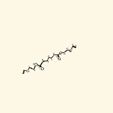 C=COCCOC(=O)CCCCCC(=O)OCCOC=C